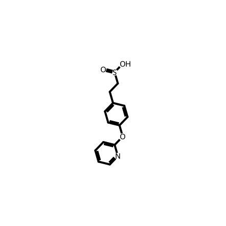 O=S(O)CCc1ccc(Oc2ccccn2)cc1